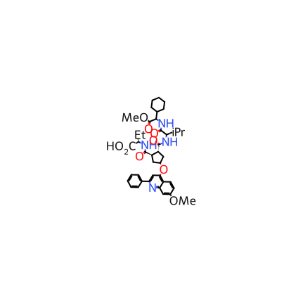 CC[C@H](NC(=O)[C@@H]1C[C@@H](Oc2cc(-c3ccccc3)nc3cc(OC)ccc23)C[C@H]1C(=O)NC(C(=O)NC(C(=O)OC)C1CCCCC1)C(C)C)C(=O)O